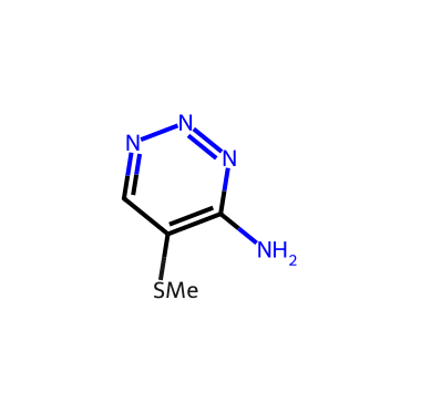 CSc1cnnnc1N